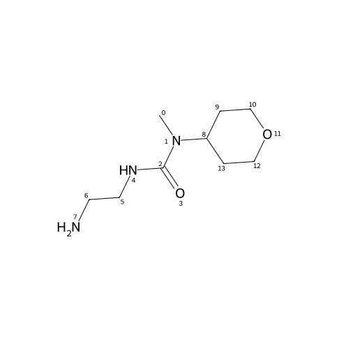 CN(C(=O)NCCN)C1CCOCC1